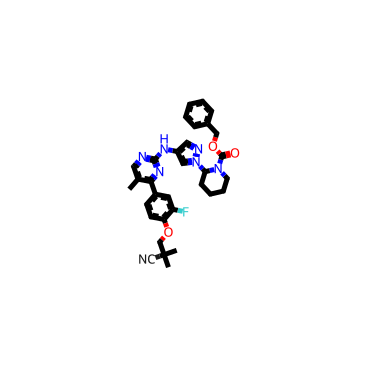 Cc1cnc(Nc2cnn(C3CCCCN3C(=O)OCc3ccccc3)c2)nc1-c1ccc(OCC(C)(C)C#N)c(F)c1